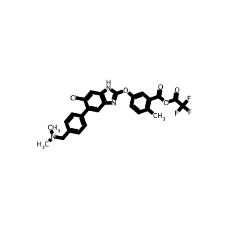 Cc1ccc(Oc2nc3cc(-c4ccc(CN(C)C)cc4)c(Cl)cc3[nH]2)cc1C(=O)OC(=O)C(F)(F)F